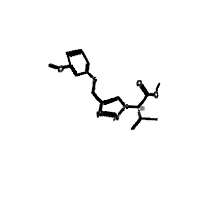 COC(=O)[C@H](C(C)C)n1cc(CSc2cccc(OC)c2)nn1